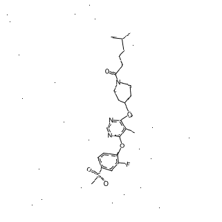 Cc1c(Oc2ccc(S(C)(=O)=O)cc2F)ncnc1OC1CCN(C(=O)CCCC(C)C)CC1